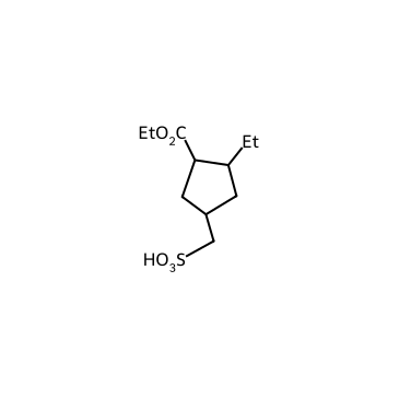 CCOC(=O)C1CC(CS(=O)(=O)O)CC1CC